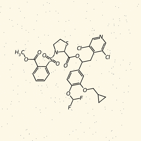 COC(=O)c1ccccc1S(=O)(=O)N1CCSC1C(=O)OC(Cc1c(Cl)cncc1Cl)c1ccc(OC(F)F)c(OCC2CC2)c1